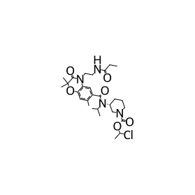 CCC(=O)NCCN1C(=O)C(C)(C)Oc2cc(C)c(C(=O)N(C(C)C)[C@@H]3CCCN(C(=O)OC(C)Cl)C3)cc21